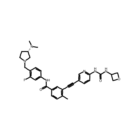 Cc1ccc(C(=O)Nc2ccc(CN3CC[C@H](N(C)C)C3)c(F)c2)cc1C#Cc1ccc(NC(=O)NC2COC2)nc1